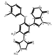 Cc1cc(Oc2ccc(Cl)c(F)c2)c(-c2cn(C)c3c(=O)[nH]ccc23)cc1N1C(=O)CN(C)C1=O